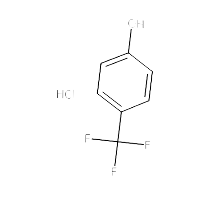 Cl.Oc1ccc(C(F)(F)F)cc1